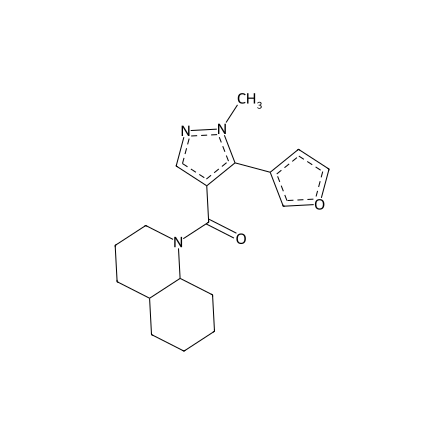 Cn1ncc(C(=O)N2CCCC3CCCCC32)c1-c1ccoc1